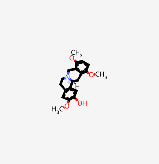 COc1cc2c(cc1O)[C@@H]1Cc3c(OC)ccc(OC)c3CN1CC2